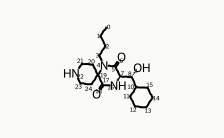 CCCCN1C(=O)[C@@H]([C@H](O)C2CCCCC2)NC(=O)C12CCNCC2